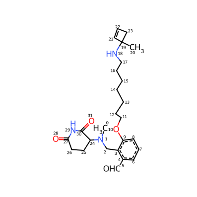 CN(Cc1c(C=O)cccc1OCCCCCCCNC1(C)C=CC1)C1CCC(=O)NC1=O